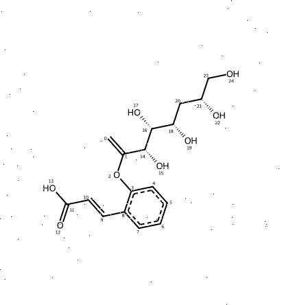 C=C(Oc1ccccc1/C=C/C(=O)O)[C@@H](O)[C@H](O)[C@@H](O)C[C@@H](O)CO